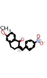 COc1ccc2c(c1)CC/C(=C/c1ccc([N+](=O)[O-])cc1)C2=O